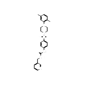 Cc1ccc(C)c(N2CCN(S(=O)(=O)c3ccc(NC(=O)NCc4cccnc4)cc3)CC2)c1